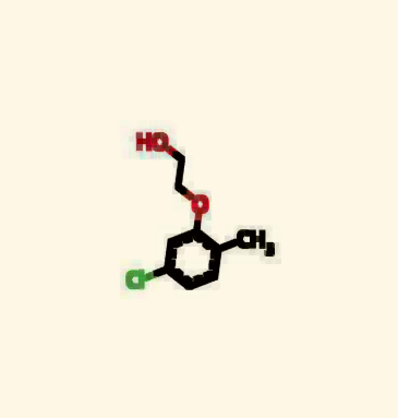 Cc1ccc(Cl)cc1OCCO